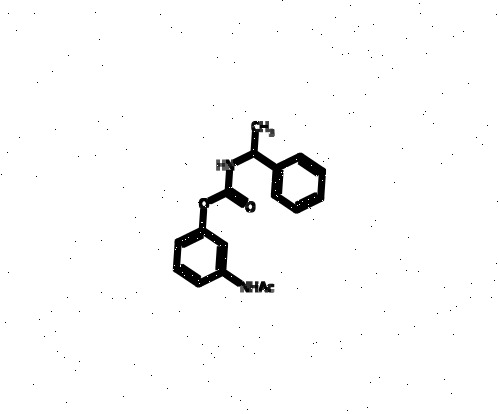 CC(=O)Nc1cccc(OC(=O)NC(C)c2ccccc2)c1